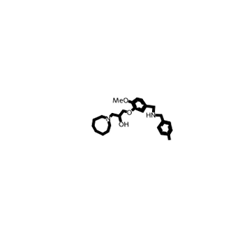 COc1ccc(CNCc2ccc(C)cc2)cc1OCC(O)CN1CCCCCCC1